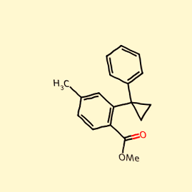 COC(=O)c1ccc(C)cc1C1(c2ccccc2)CC1